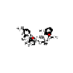 CC(C)OC(=O)[C@@H](C)N[P@@](=O)(OC[C@]12CO[C@](C)([C@@H]1O)[C@H](n1ccc(N)nc1=O)O2)Oc1ccccc1